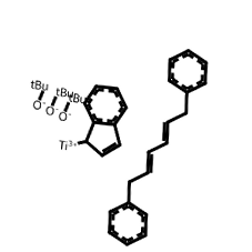 C(C=CCc1ccccc1)=CCc1ccccc1.CC(C)(C)[O-].CC(C)(C)[O-].CC(C)(C)[O-].[Ti+3][CH]1C=Cc2ccccc21